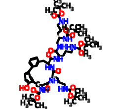 CC(C)(C)OC(=O)NCCC[C@@H](CNC(=O)[C@H](CCCNC(=O)OC(C)(C)C)NC(=O)[C@@H]1Cc2cccc(c2)-c2ccc(O)c(c2)C[C@H](NC(=O)OC(C)(C)C)C(=O)N[C@@H](CCCNC(=O)OC(C)(C)C)C(=O)N1)NC(=O)OC(C)(C)C